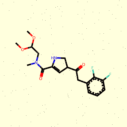 COC(CN(C)C(=O)C1=CC(C(=O)Cc2cccc(F)c2F)CN1)OC